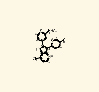 CC(=O)Nc1cc(-c2[nH]c3c(Cl)ccnc3c2-c2ccc(Cl)cn2)ccn1